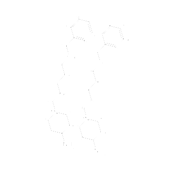 NC1CCN(CCCCCOCc2ccccc2)CC1.NC1CCN(CCCCCOCc2ccccc2)CC1